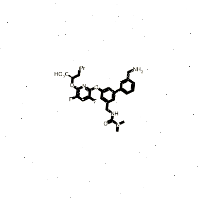 CC(C)C[C@@H](Oc1nc(Oc2cc(CNC(=O)N(C)C)cc(-c3cccc(CN)c3)c2)c(F)cc1F)C(=O)O